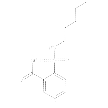 CCCCCNS(=O)(=O)c1ccccc1C(N)=O